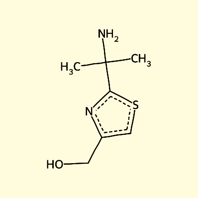 CC(C)(N)c1nc(CO)cs1